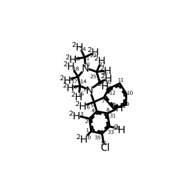 [2H]c1c([2H])c(C([2H])(c2ccccc2)N2C([2H])([2H])C([2H])([2H])N(C([2H])([2H])[2H])C([2H])([2H])C2([2H])[2H])c([2H])c([2H])c1Cl